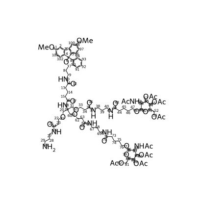 COc1ccc(C(OCCCNC(=O)CCCC(=O)NC(COCCC(=O)NCCCN)(COCCC(=O)NCCCNC(=O)CCCCO[C@@H]2O[C@H](COC(C)=O)[C@H](OC(C)=O)[C@H](OC(C)=O)[C@H]2NC(C)=O)COCCC(=O)NCCCNC(=O)CCCCO[C@@H]2O[C@H](COC(C)=O)[C@H](OC(C)=O)[C@H](OC(C)=O)[C@H]2NC(C)=O)(c2ccccc2)c2ccc(OC)cc2)cc1